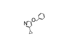 c1ccc(COc2cncc(C3CC3)c2)cc1